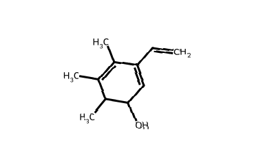 C=CC1=CC(O)C(C)C(C)=C1C